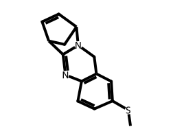 CSc1ccc2c(c1)CN1C(=N2)C2C=CC1C2